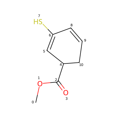 COC(=O)C1C=C(S)C=CC1